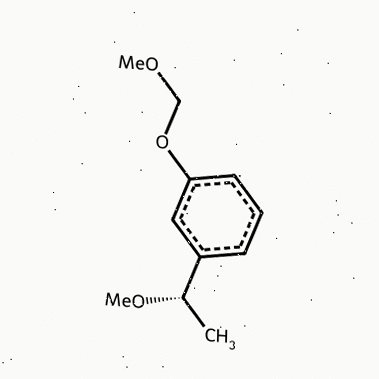 COCOc1[c]ccc([C@H](C)OC)c1